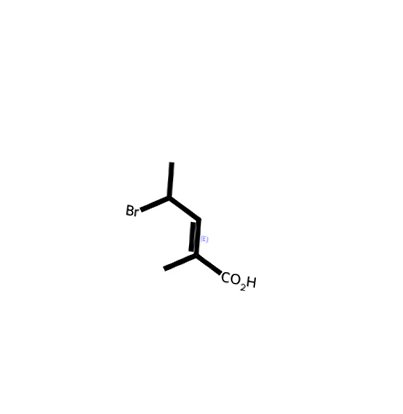 C/C(=C\C(C)Br)C(=O)O